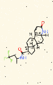 CC(CC(F)(F)F)NC(=O)[C@@H]1CC[C@@H]2[C@H]3CC[C@H]4NC(=O)C=C[C@]4(C)[C@@H]3CC[C@]21C